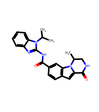 CC(C)n1c(NC(=O)c2ccc3cc4n(c3c2)C(C)CNC4=O)nc2ccccc21